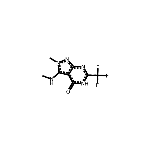 CNc1c2c(=O)[nH]c(C(F)(F)F)nc2nn1C